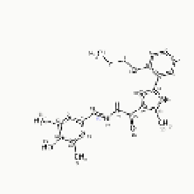 CCCOc1ccccc1-c1nc(C)c(C(=O)N/N=C/c2cc(C)c(O)c(C)c2)s1